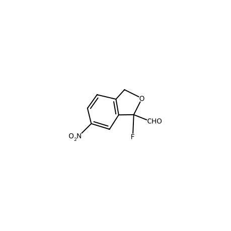 O=CC1(F)OCc2ccc([N+](=O)[O-])cc21